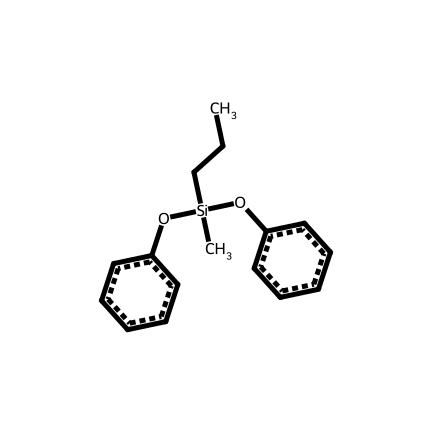 CCC[Si](C)(Oc1ccccc1)Oc1ccccc1